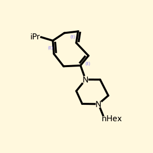 CCCCCCN1CCN(/C2=C/C=C/C/C(C(C)C)=C\C2)CC1